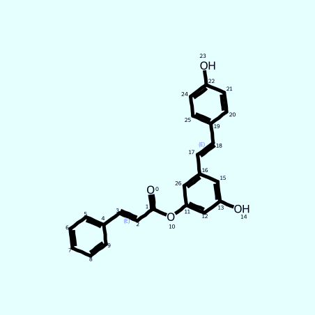 O=C(/C=C/c1ccccc1)Oc1cc(O)cc(/C=C/c2ccc(O)cc2)c1